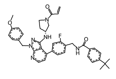 C=CC(=O)N1CC[C@@H](Nc2nn(Cc3ccc(OC)cc3)c3nccc(-c4ccc(CNC(=O)c5ccc(C(C)(C)C)cc5)c(F)c4)c23)C1